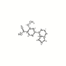 COc1nc(-c2cccc3cnnn23)ccc1C(=O)O